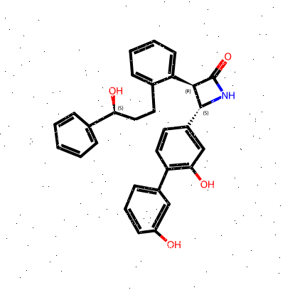 O=C1N[C@H](c2ccc(-c3cccc(O)c3)c(O)c2)[C@H]1c1ccccc1CC[C@H](O)c1ccccc1